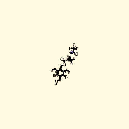 CCc1c(F)c(COC)c(F)c(CC)c1COC(=O)[C@@H]1[C@H](/C=C(\Cl)C(F)(F)F)C1(C)C